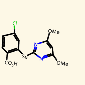 COc1cc(OC)nc([Se]c2cc(Cl)ccc2C(=O)O)n1